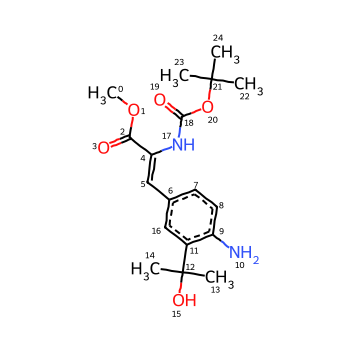 COC(=O)C(=Cc1ccc(N)c(C(C)(C)O)c1)NC(=O)OC(C)(C)C